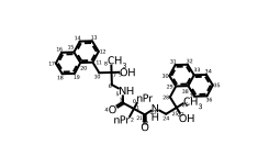 CCCC(CCC)(C(=O)NCC(C)(O)Cc1cccc2ccccc12)C(=O)NCC(C)(O)Cc1cccc2ccccc12